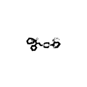 COc1cccnc1N1CCN(CCC(C(=O)N2C3CCCC2CC3)c2ccccc2)CC1